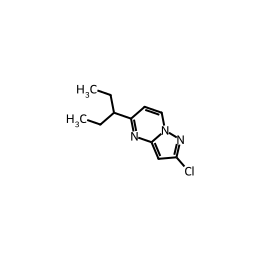 CCC(CC)c1ccn2nc(Cl)cc2n1